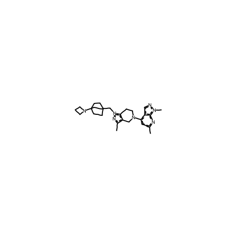 Cc1cc(N2CCc3c(c(C)nn3CC34CCC(N5CCC5)(CC3)CC4)C2)c2cnn(C)c2n1